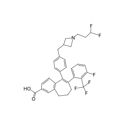 O=C(O)c1ccc2c(c1)CCCC(c1cccc(F)c1C(F)(F)F)=C2c1ccc(CC2CN(CCC(F)F)C2)cc1